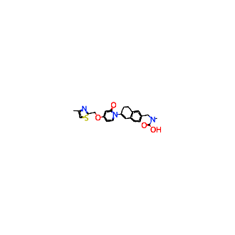 Cc1csc(COc2ccn(C3=Cc4ccc(CN(C)C(=O)O)cc4CC3)c(=O)c2)n1